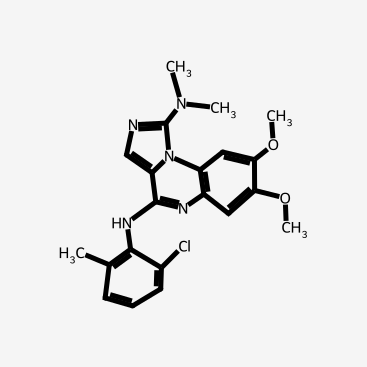 COc1cc2nc(Nc3c(C)cccc3Cl)c3cnc(N(C)C)n3c2cc1OC